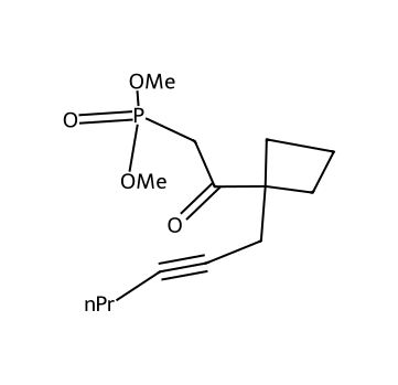 CCCC#CCC1(C(=O)CP(=O)(OC)OC)CCC1